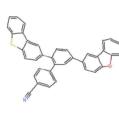 N#Cc1ccc(-c2cc(-c3ccc4oc5ccccc5c4c3)ccc2-c2ccc3sc4ccccc4c3c2)cc1